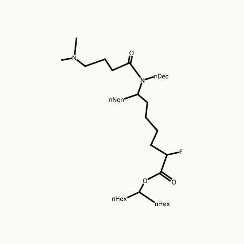 CCCCCCCCCCN(C(=O)CCCN(C)C)C(CCCCCCCCC)CCCCC(F)C(=O)OC(CCCCCC)CCCCCC